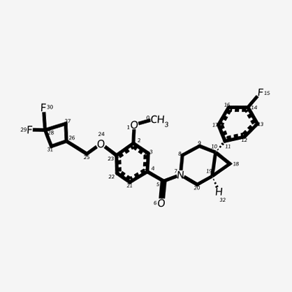 COc1cc(C(=O)N2CC[C@@]3(c4ccc(F)cc4)C[C@H]3C2)ccc1OCC1CC(F)(F)C1